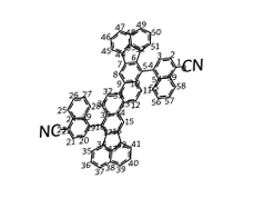 N#Cc1ccc(-c2c3c(cc4c2ccc2c5cc6c(c(-c7ccc(C#N)c8ccccc78)c5ccc42)-c2cccc4cccc-6c24)-c2cccc4cccc-3c24)c2ccccc12